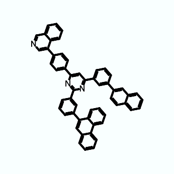 c1cc(-c2ccc3ccccc3c2)cc(-c2cc(-c3ccc(-c4cncc5ccccc45)cc3)nc(-c3cccc(-c4cc5ccccc5c5ccccc45)c3)n2)c1